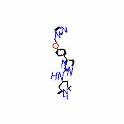 C=C1CC(Nc2nccc(-c3ccc(OCCn4ccnc4)cc3)n2)CC(C)(C)N1